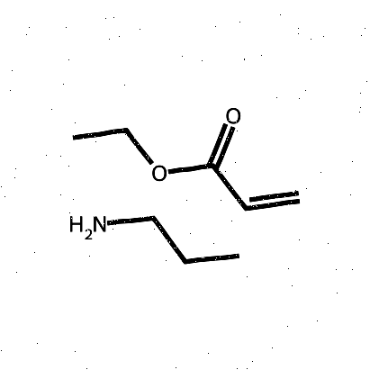 C=CC(=O)OCC.CCCN